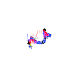 Cc1ncsc1-c1ccc([C@H](C)NC(=O)[C@@H]2C[C@@H](O)CN2C(=O)[C@H](c2cc(N3CCN(CC4CCN(CC5CC(Oc6cc(N7C8CC[C@@H]7CN(c7cc(-c9ccccc9O)nnc7N)C8)ccn6)C5)CC4)CC3)no2)C(C)C)cc1